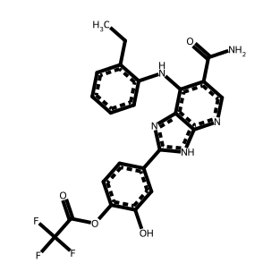 CCc1ccccc1Nc1c(C(N)=O)cnc2[nH]c(-c3ccc(OC(=O)C(F)(F)F)c(O)c3)nc12